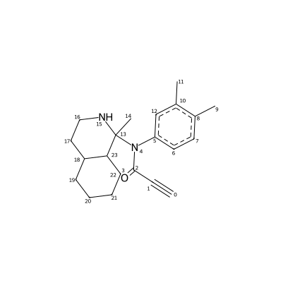 C#CC(=O)N(c1ccc(C)c(C)c1)C1(C)NCCC2CCCCC21